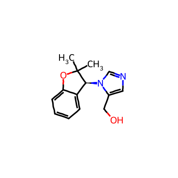 CC1(C)Oc2ccccc2[C@@H]1n1cncc1CO